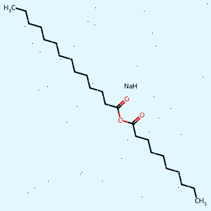 CCCCCCCCCCCCCC(=O)OC(=O)CCCCCCCCC.[NaH]